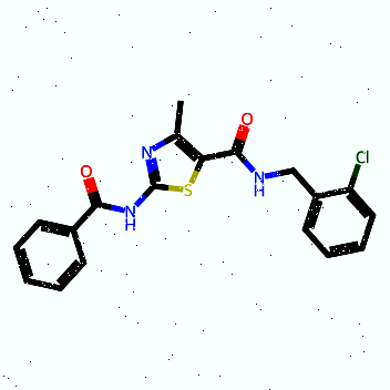 Cc1nc(NC(=O)c2ccccc2)sc1C(=O)NCc1ccccc1Cl